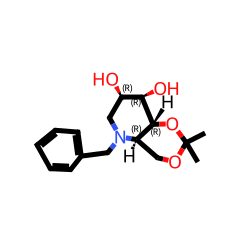 CC1(C)OC[C@@H]2[C@@H](O1)[C@H](O)[C@H](O)CN2Cc1ccccc1